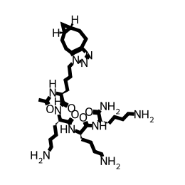 CC(=O)N[C@@H](CCCCn1nnc2c1CC[C@@H]1C[C@@H]1CC2)C(=O)N[C@@H](CCCCN)C(=O)N[C@@H](CCCCN)C(=O)N[C@@H](CCCCN)C(N)=O